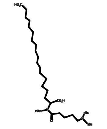 CCCCCCCCCCN(C(=O)CCCCN(CCCC)CCCC)C(CCCCCCCCCCCCCCCCC(=O)O)C(=O)O